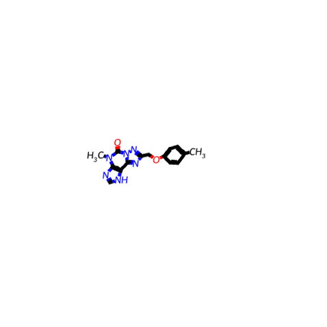 Cc1ccc(OCc2nc3c4[nH]cnc4n(C)c(=O)n3n2)cc1